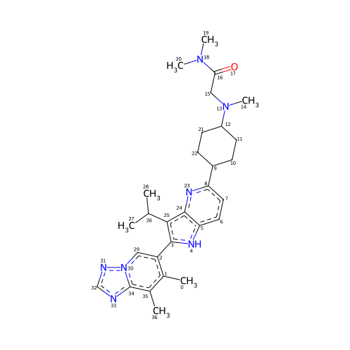 Cc1c(-c2[nH]c3ccc(C4CCC(N(C)CC(=O)N(C)C)CC4)nc3c2C(C)C)cn2ncnc2c1C